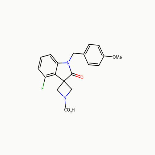 COc1ccc(CN2C(=O)C3(CN(C(=O)O)C3)c3c(F)cccc32)cc1